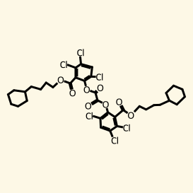 O=C(Oc1c(Cl)cc(Cl)c(Cl)c1C(=O)OCCCCC1CCCCC1)C(=O)Oc1c(Cl)cc(Cl)c(Cl)c1C(=O)OCCCCC1CCCCC1